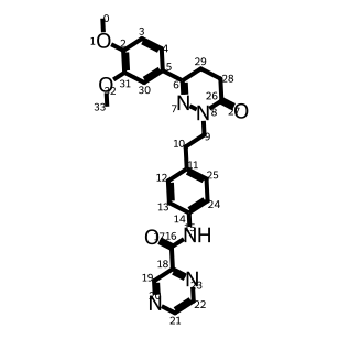 COc1ccc(C2=NN(CCc3ccc(NC(=O)c4cnccn4)cc3)C(=O)CC2)cc1OC